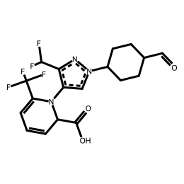 O=CC1CCC(n2cc(N3C(C(F)(F)F)=CC=CC3C(=O)O)c(C(F)F)n2)CC1